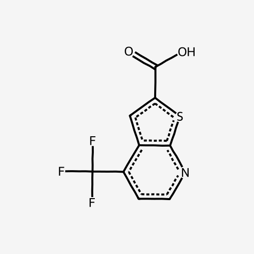 O=C(O)c1cc2c(C(F)(F)F)ccnc2s1